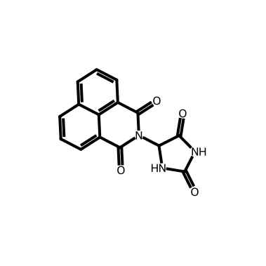 O=C1NC(=O)C(N2C(=O)c3cccc4cccc(c34)C2=O)N1